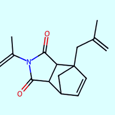 C=C(C)CC12C=CC(C1)C1C(=O)N(C(=C)C)C(=O)C12